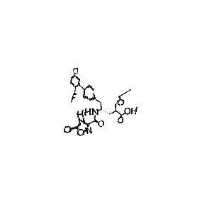 CCOC[C@H](C[C@@H](Cc1ccc(-c2cc(Cl)ccc2F)cc1)NC(=O)c1noc(=O)[nH]1)C(=O)O